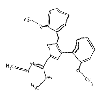 C=N/N=C(\NC)c1cc(-c2ccccc2OC)c(-c2ccccc2OC)s1